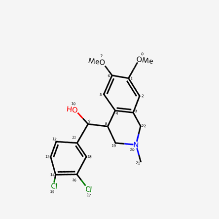 COc1cc2c(cc1OC)C(C(O)c1ccc(Cl)c(Cl)c1)CN(C)C2